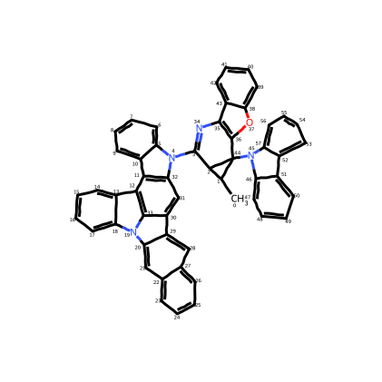 CC1C2C(n3c4ccccc4c4c5c6ccccc6n6c7cc8ccccc8cc7c(cc43)c56)=Nc3c(oc4ccccc34)C12n1c2ccccc2c2ccccc21